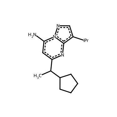 CC(C)c1cnn2c(N)cc(C(C)C3CCCC3)nc12